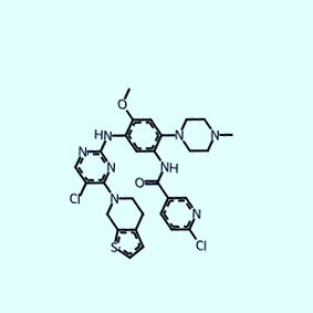 COc1cc(N2CCN(C)CC2)c(NC(=O)c2ccc(Cl)nc2)cc1Nc1ncc(Cl)c(N2CCc3ccsc3C2)n1